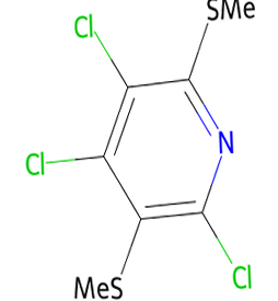 CSc1nc(Cl)c(SC)c(Cl)c1Cl